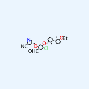 CCOc1cccc(-c2cccc(COc3cc(OCc4cncc(C#N)c4)c(C=O)cc3Cl)c2C)c1C